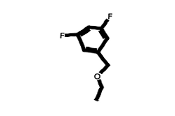 [CH2]COCc1cc(F)cc(F)c1